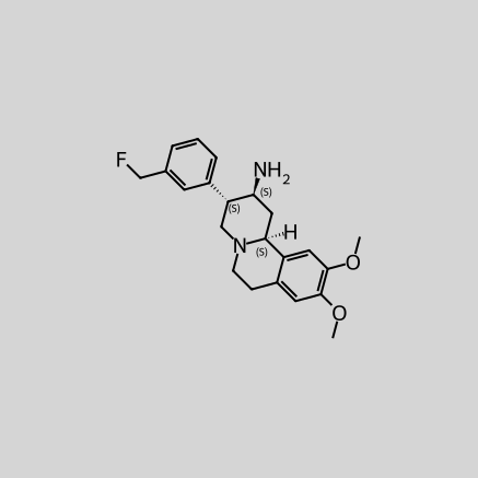 COc1cc2c(cc1OC)[C@@H]1C[C@H](N)[C@@H](c3cccc(CF)c3)CN1CC2